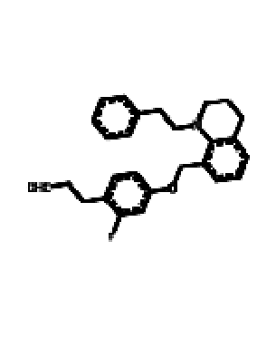 O=CCCc1ccc(OCc2cccc3c2N(CCc2ccccc2)CCC3)cc1F